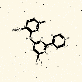 COc1ccc(C)cc1Nc1cc(C(F)(F)F)nc(-c2ccncc2)n1